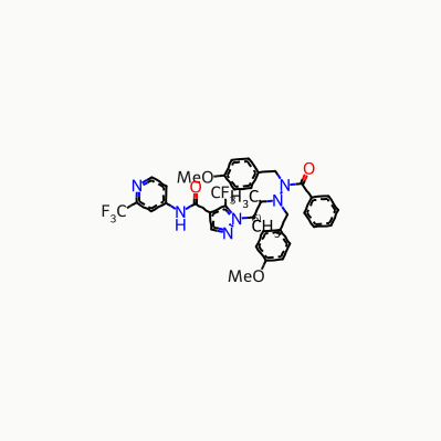 COc1ccc(CN(C(=O)c2ccccc2)N(Cc2ccc(OC)cc2)C(C)[C@H](C)n2ncc(C(=O)Nc3ccnc(C(F)(F)F)c3)c2C(F)(F)F)cc1